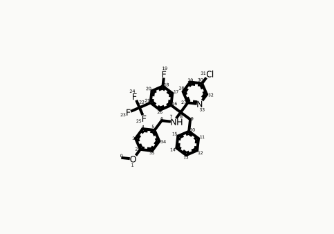 COc1ccc(CNC(Cc2ccccc2)(c2cc(F)cc(C(F)(F)F)c2)c2ccc(Cl)cn2)cc1